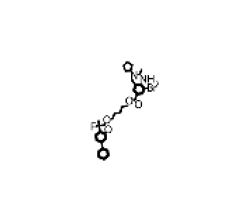 CCN(Cc1cc(C(=O)OCCCCCOC(=O)C(C)(F)c2ccc(-c3ccccc3)cc2)cc(Br)c1N)C1CCCC1